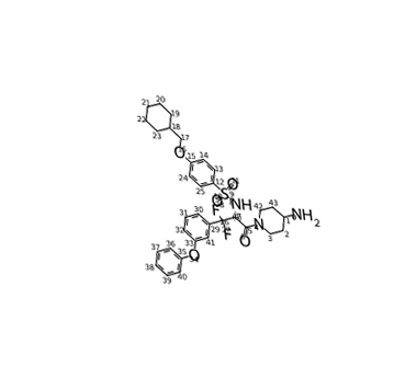 NC1CCN(C(=O)[C@@H](NS(=O)(=O)c2ccc(OCC3CCCCC3)cc2)C(F)(F)c2cccc(Oc3ccccc3)c2)CC1